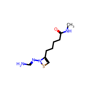 CNC(=O)CCCCc1csn1/N=C/N